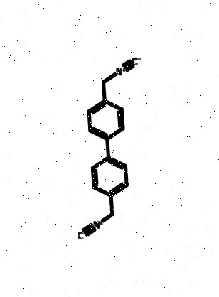 [C-]#[N+]Cc1ccc(-c2ccc(C[N+]#[C-])cc2)cc1